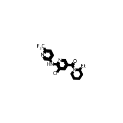 CCC1CCCCN1C(=O)c1cnc(Nc2ccc(C(F)(F)F)nc2)c(Cl)c1